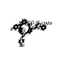 COc1ccccc1-c1nccc(COc2ccc3cc2C[C@H](C(=O)O)Oc2ncnc4sc(-c5ccc(F)cc5)c(c24)-c2ccc(c(Cl)c2C)CN(CCN2CCN(C(C)=O)CC2)C3)n1